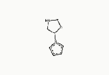 [CH]1NCC(n2cccc2)O1